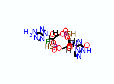 Nc1ncnc2c1ncn2[C@@H]1O[C@@H]2COP(=O)(S)O[C@@H]3[C@H](O)[C@@H](COP(=O)(S)O[C@H]2[C@H]1F)O[C@H]3n1cnc2c(=O)[nH]c3nccn3c21